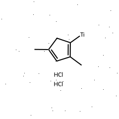 CC1=CC(C)=[C]([Ti])C1.Cl.Cl